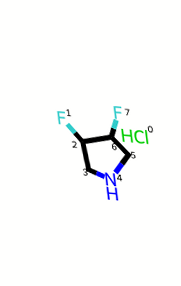 Cl.FC1CNCC1F